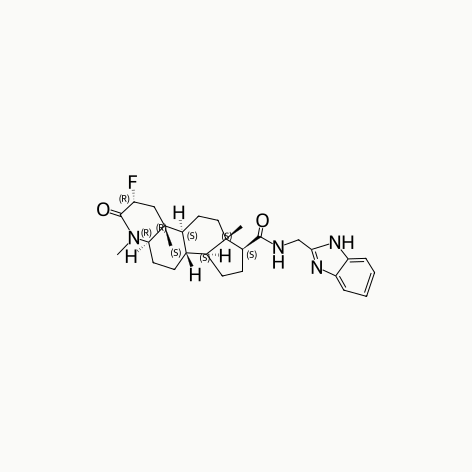 CN1C(=O)[C@H](F)C[C@]2(C)[C@H]3CC[C@]4(C)[C@@H](C(=O)NCc5nc6ccccc6[nH]5)CC[C@H]4[C@@H]3CC[C@@H]12